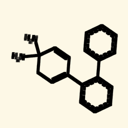 NC1(N)C=CC(c2ccccc2-c2ccccc2)=CC1